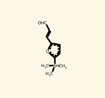 [CH3][Sn]([CH3])([CH3])[c]1ccc(/C=C/C=O)o1